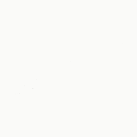 [C]#CCCCCCCCCCCCCCCCCCCCCCCCC[CH2]